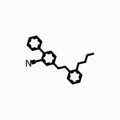 CCCCc1ccccc1CCc1ccc(-c2ccccc2)c(C#N)c1